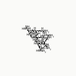 CC(=O)NCC(=O)N[C@H](CCCNC(=N)N)C(=O)N[C@H](C)C(=O)N[C@H](CCCCNC(=N)N)C(=O)N[C@H](C)C(=O)N[C@H](CCCNC(=N)N)C(=O)N[C@H](C)C(=O)N[C@H](CCCNC(=N)N)C(=O)N[C@H](C)C(=O)N[C@H](CCCCNC(=N)N)C(=O)N[C@H](CS)C(N)=O